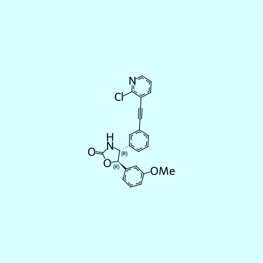 COc1cccc([C@H]2OC(=O)N[C@@H]2c2cccc(C#Cc3cccnc3Cl)c2)c1